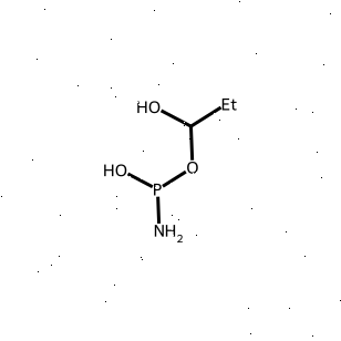 CCC(O)OP(N)O